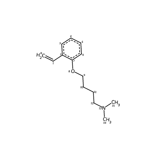 C=Cc1ccccc1OCCCCN(C)C